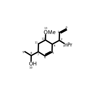 C=CC(CCC)C1C=CC(C(C)O)CC1OC